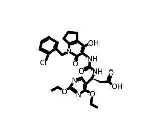 CCOc1ncc([C@H](CC(=O)O)NC(=O)Nc2c(O)c3c(n(Cc4ccccc4Cl)c2=O)CCC3)c(OCC)n1